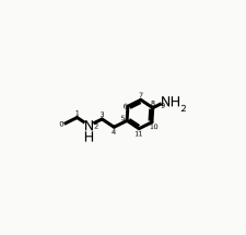 CCNCCc1ccc(N)cc1